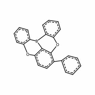 c1ccc(-c2ccc3c4c2Oc2ccccc2B4c2ccccc2O3)cc1